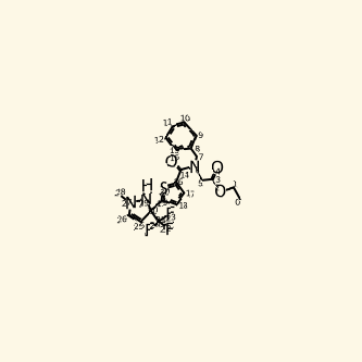 CCOC(=O)CN(Cc1ccccc1)C(=O)c1ccc(C2(C(F)(F)F)C=CN(C)N2)s1